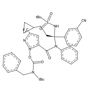 CC(C)(C)N(Cc1ccccc1)C(=O)On1nc(C(F)(F)F)cc1C(=O)N(c1ccccc1)[C@](CCC1CC1)(NS(=O)(=O)C(C)(C)C)c1cccc(C#N)c1